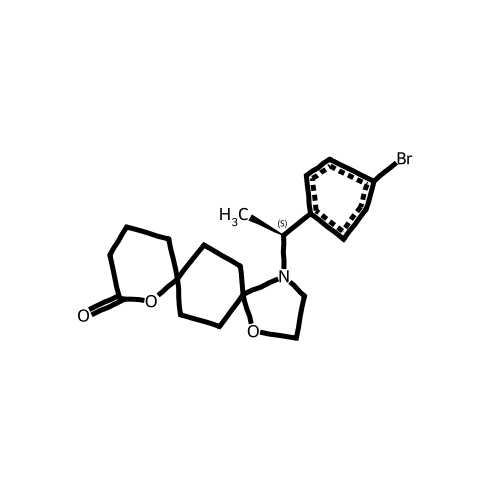 C[C@@H](c1ccc(Br)cc1)N1CCOC12CCC1(CCCC(=O)O1)CC2